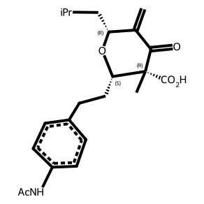 C=C1C(=O)[C@](C)(C(=O)O)[C@H](CCc2ccc(NC(C)=O)cc2)O[C@@H]1CC(C)C